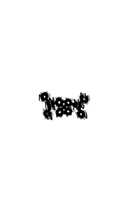 c1ccc(C2(c3ccccc3)c3cc(-c4nc(-c5cccnc5)nc(-c5cccnc5)n4)ccc3-c3ccc(-c4nc(-c5cccnc5)nc(-c5cccnc5)n4)cc32)cc1